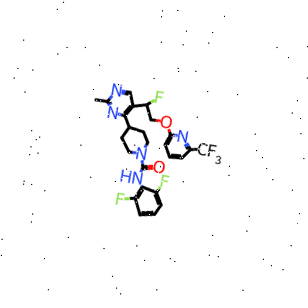 Cc1ncc(C(F)COc2cccc(C(F)(F)F)n2)c(C2CCN(C(=O)Nc3c(F)cccc3F)CC2)n1